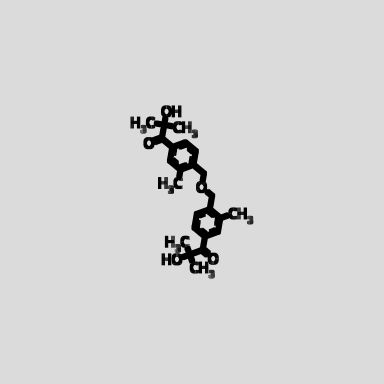 Cc1cc(C(=O)C(C)(C)O)ccc1COCc1ccc(C(=O)C(C)(C)O)cc1C